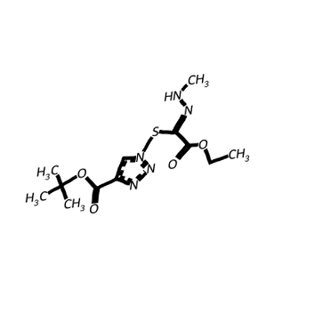 CCOC(=O)/C(=N/NC)Sn1cc(C(=O)OC(C)(C)C)nn1